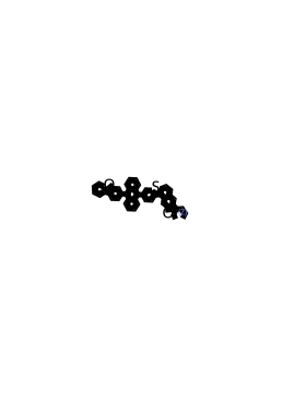 C/C=C\c1c(C)oc2cc3c(ccc4sc5cc(-c6c7ccccc7c(-c7ccc8c(c7)oc7ccccc78)c7ccccc67)ccc5c43)cc12